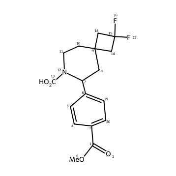 COC(=O)c1ccc(C2CC3(CCN2C(=O)O)CC(F)(F)C3)cc1